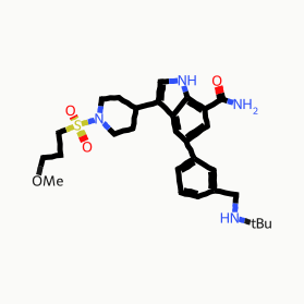 COCCCS(=O)(=O)N1CCC(c2c[nH]c3c(C(N)=O)cc(-c4cccc(CNC(C)(C)C)c4)cc23)CC1